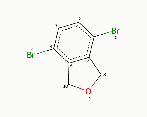 Brc1ccc(Br)c2c1COC2